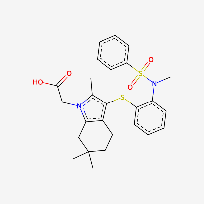 Cc1c(Sc2ccccc2N(C)S(=O)(=O)c2ccccc2)c2c(n1CC(=O)O)CC(C)(C)CC2